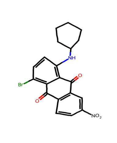 O=C1c2ccc([N+](=O)[O-])cc2C(=O)c2c(NC3CCCCC3)ccc(Br)c21